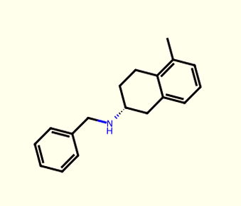 Cc1cccc2c1CC[C@@H](NCc1ccccc1)C2